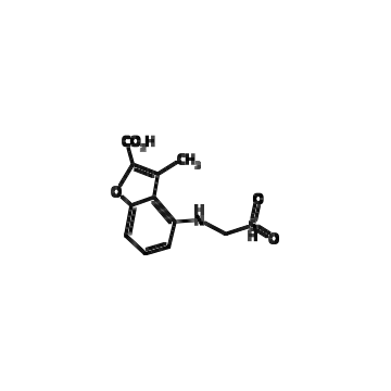 Cc1c(C(=O)O)oc2cccc(NC[SH](=O)=O)c12